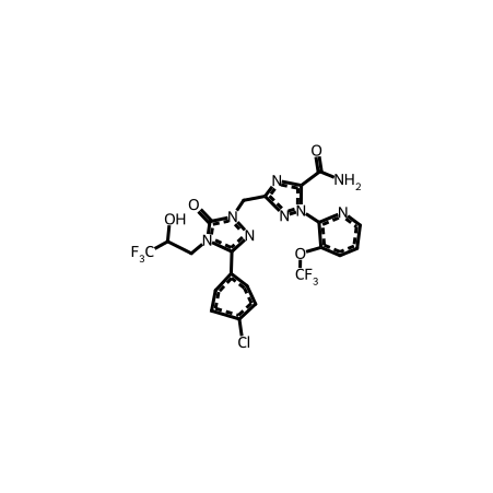 NC(=O)c1nc(Cn2nc(-c3ccc(Cl)cc3)n(CC(O)C(F)(F)F)c2=O)nn1-c1ncccc1OC(F)(F)F